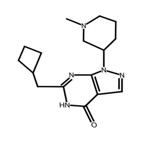 CN1CCCC(n2ncc3c(=O)[nH]c(CC4CCC4)nc32)C1